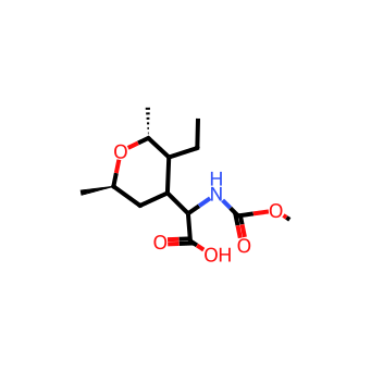 CCC1C(C(NC(=O)OC)C(=O)O)C[C@@H](C)O[C@@H]1C